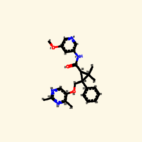 COc1cncc(NC(=O)C2C(C)(C)C2(COc2cnc(C)nc2C)c2ccccc2)c1